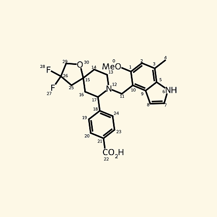 COc1cc(C)c2[nH]ccc2c1CN1CCC2(CC1c1ccc(C(=O)O)cc1)CC(F)(F)CO2